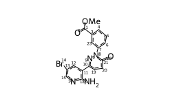 COC(=O)c1cccc(-n2nc(-c3cc(Br)cnc3N)ccc2=O)c1